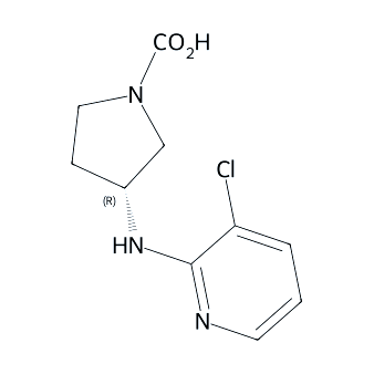 O=C(O)N1CC[C@@H](Nc2ncccc2Cl)C1